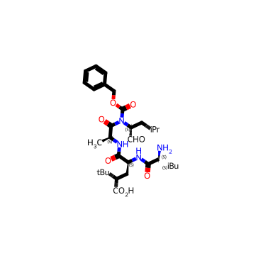 CC[C@H](C)[C@H](N)C(=O)N[C@@H](CC(C(=O)O)C(C)(C)C)C(=O)N[C@@H](C)C(=O)N(C(=O)OCc1ccccc1)[C@H](C=O)CC(C)C